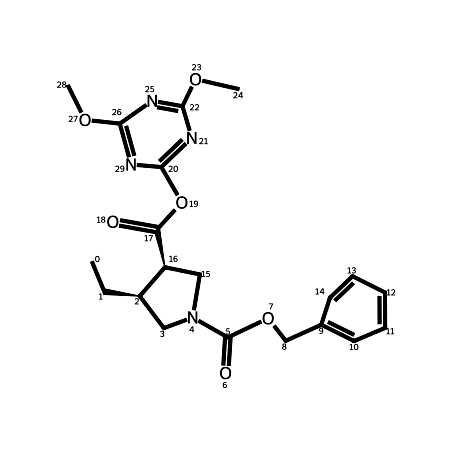 CC[C@@H]1CN(C(=O)OCc2ccccc2)C[C@@H]1C(=O)Oc1nc(OC)nc(OC)n1